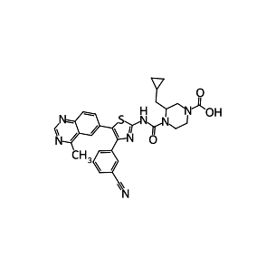 Cc1ncnc2ccc(-c3sc(NC(=O)N4CCN(C(=O)O)CC4CC4CC4)nc3-c3cccc(C#N)c3)cc12